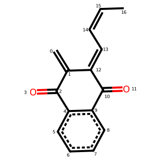 C=C1C(=O)c2ccccc2C(=O)/C1=C/C=C\C